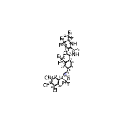 CC(NC(=O)c1ccc(/C=C/C(c2cc(Cl)c(Cl)c(Cl)c2)C(F)(F)F)cc1C(F)(F)F)C(=O)NC(C(F)(F)F)C(F)(F)F